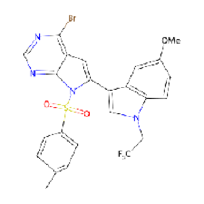 COc1ccc2c(c1)c(-c1cc3c(Br)ncnc3n1S(=O)(=O)c1ccc(C)cc1)cn2CC(F)(F)F